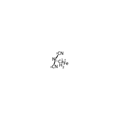 N#[C][Ni][C]#N.[CaH2].[Fe]